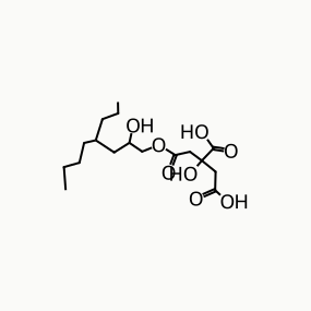 CCCCC(CCC)CC(O)COC(=O)CC(O)(CC(=O)O)C(=O)O